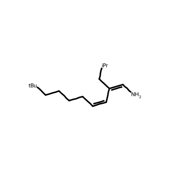 CC(C)CC(/C=C\CCCCC(C)(C)C)=C/N